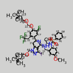 CCN(c1ccc(OC)cc1CNc1nc(-c2cc(F)c(OCOCC[Si](C)(C)C)cc2CC(F)(F)F)cc2c1c(I)nn2COCC[Si](C)(C)C)S(=O)(=O)c1ccccc1